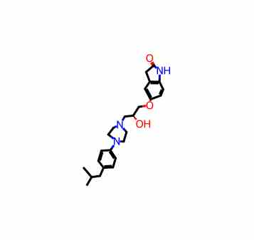 CC(C)Cc1ccc(N2CCN(C[C@H](O)COc3ccc4c(c3)CC(=O)N4)CC2)cc1